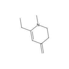 C=C1C=C(CC)N(C)CC1